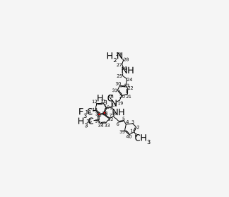 CC1=CCC(/C=C/C(NC(c2ccc(C(F)(F)F)cc2)N(C)Cc2ccc(CCNCCN)cc2)c2ccc(C)cc2)C=C1